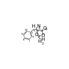 CO[C@@](N)(Cc1ccccc1)C(=O)O